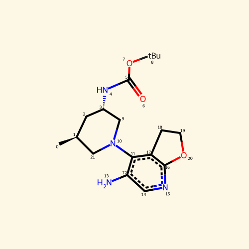 C[C@H]1C[C@H](NC(=O)OC(C)(C)C)CN(c2c(N)cnc3c2CCO3)C1